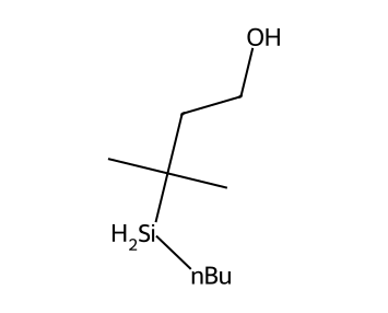 CCCC[SiH2]C(C)(C)CCO